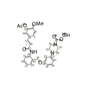 COc1ccc(/C=C/C(=O)Nc2ccccc2COc2cccc(N3CCN(C(=O)OC(C)(C)C)CC3)c2)cc1OC(C)=O